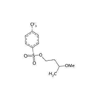 COC(C)CCOS(=O)(=O)c1ccc(C(F)(F)F)cc1